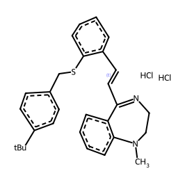 CN1CCN=C(/C=C/c2ccccc2SCc2ccc(C(C)(C)C)cc2)c2ccccc21.Cl.Cl